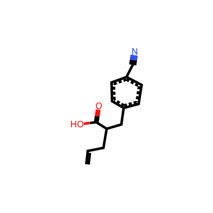 C=CCC(Cc1ccc(C#N)cc1)C(=O)O